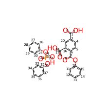 O=C(O)c1ccc(C(=O)Oc2ccccc2)c(C(=O)O)c1.O=P(O)(Oc1ccccc1)Oc1ccccc1